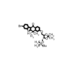 CC1(C)OC(COc2ccc3c(c2)C(C)(C)c2[nH]c4cc(Br)ccc4c2C3=O)[C@@H](CO[Si](C)(C)C(C)(C)C)O1